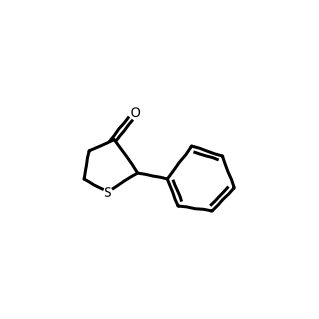 O=C1CCSC1c1ccccc1